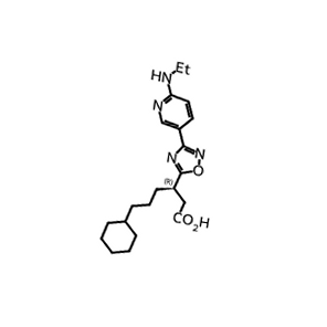 CCNc1ccc(-c2noc([C@H](CCCC3CCCCC3)CC(=O)O)n2)cn1